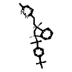 Cc1ccc(CC[C@@]2(C)C[C@](C)(C(C)(C)c3ccc(C(C)(C)C)cc3)c3ccccc32)nn1